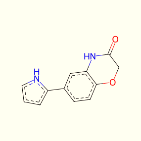 O=C1COc2ccc(-c3ccc[nH]3)cc2N1